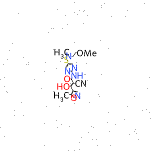 COCCN(C)Sc1cnc(NC(=O)/C(C#N)=C(\O)c2cnoc2C)nc1